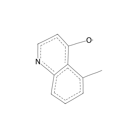 Cc1cccc2nccc([O])c12